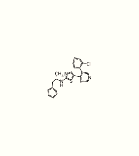 C[C@@H](Cc1ccccc1)Nc1ncc(-c2ccncc2-c2ccccc2Cl)s1